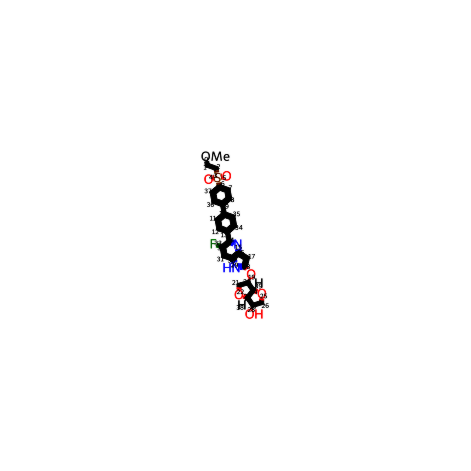 COCCS(=O)(=O)c1ccc(-c2ccc(-c3nc4cc(O[C@@H]5CO[C@H]6[C@@H]5OC[C@H]6O)[nH]c4cc3F)cc2)cc1